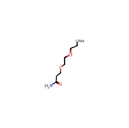 COCCOCCOCCC(N)=O